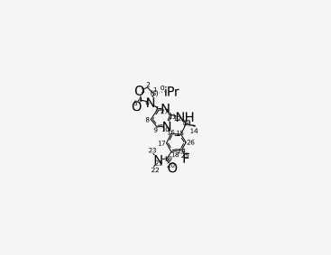 CC(C)[C@H]1COC(=O)N1c1ccnc(N[C@@H](C)c2ccc(C(=O)N(C)C)c(F)c2)n1